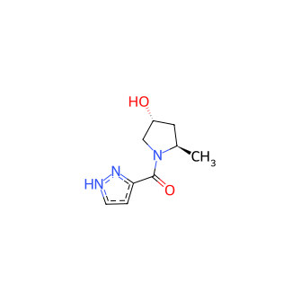 C[C@@H]1C[C@@H](O)CN1C(=O)c1cc[nH]n1